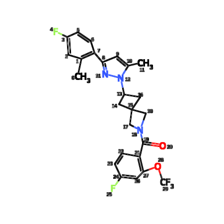 Cc1cc(F)ccc1-c1cc(C)n(C2CC3(C2)CN(C(=O)c2ccc(F)cc2OC(F)(F)F)C3)n1